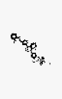 NS(=O)(=O)OC[C@H]1CC(Nc2ncncc2C(=O)c2cc(CSc3ccccc3Cl)cs2)C[C@@H]1O